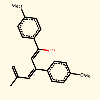 C=C(C)/C=C(\C=C(/O)c1ccc(OC)cc1)c1ccc(OC)cc1